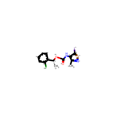 Cc1nsc(I)c1NC(=O)O[C@H](C)c1ccccc1F